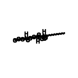 CCCCCCCCCCCCCCCC(=O)N[C@@H](CCC(=O)NCCOCCOCC(=O)NCCOCCOC[C]=O)C(=O)O